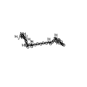 CN(Cc1cnc2nc(N)nc(N)c2n1)c1ccc(C(=O)NC(CCC(=O)NCCOCCOCCOCCOCCOCCNC(=O)COc2ccc(-c3n[nH]c4c3C(=O)c3c(NC(=O)NN5CCOCC5)cccc3-4)cc2)C(=O)O)cc1